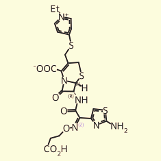 CC[n+]1ccc(SCC2=C(C(=O)[O-])N3C(=O)[C@@H](NC(=O)/C(=N\OCCC(=O)O)c4csc(N)n4)[C@H]3SC2)cc1